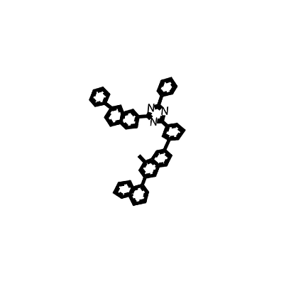 Cc1cc(-c2cccc3ccccc23)cc2ccc(-c3cccc(-c4nc(-c5ccccc5)nc(-c5ccc6ccc(-c7ccccc7)cc6c5)n4)c3)cc12